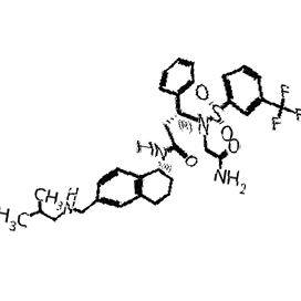 CC(C)CNCc1ccc2c(c1)CCC[C@H]2NC(=O)C[C@H](c1ccccc1)N(CC(N)=O)S(=O)(=O)c1cccc(C(F)(F)F)c1